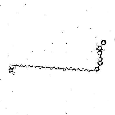 O=C(CCOCCOCCOCCOCCOCCOCCOCCOCCOCCOCCOCCOCCn1cc(-c2ccc3nc(N4CCC5(CC4)NC(=O)N(c4ccccc4)C5=O)sc3c2)nn1)ON1C(=O)CCC1=O